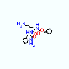 NCCCC[C@H](NC(=O)OCc1ccccc1)C(=O)N[C@@H](Cc1ccccc1)C(N)=O